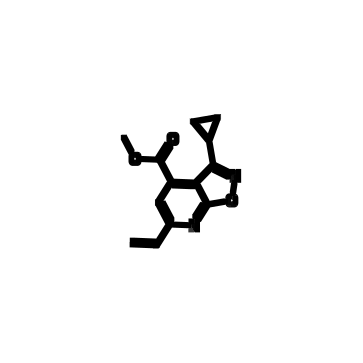 C=Cc1cc(C(=O)OC)c2c(C3CC3)noc2n1